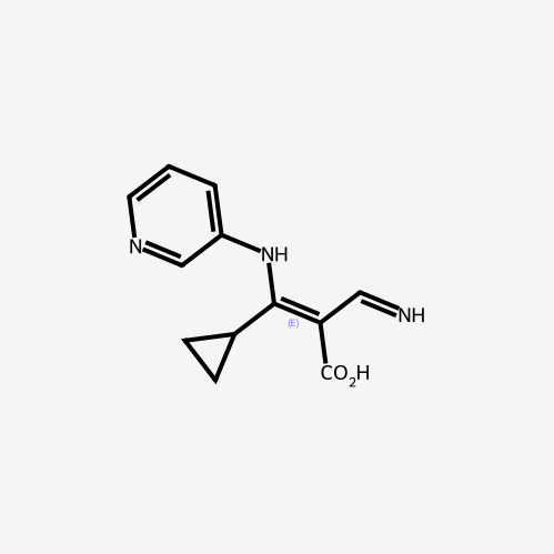 N=C/C(C(=O)O)=C(\Nc1cccnc1)C1CC1